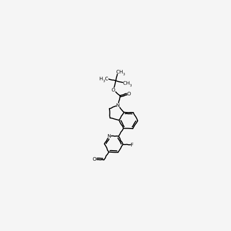 CC(C)(C)OC(=O)N1CCc2c(-c3ncc(C=O)cc3F)cccc21